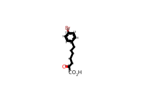 O=C(O)C(=O)CCCCCc1ccc(Br)cc1